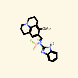 CCn1c(/[N+](=C/c2cc3c4c(c2OC)CCCN4CCC3)B(F)F)nc2ccccc21